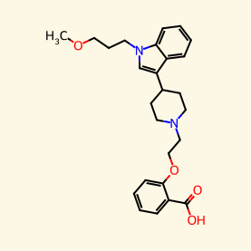 COCCCn1cc(C2CCN(CCOc3ccccc3C(=O)O)CC2)c2ccccc21